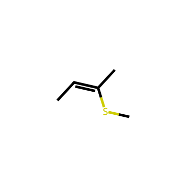 C/C=C(/C)SC